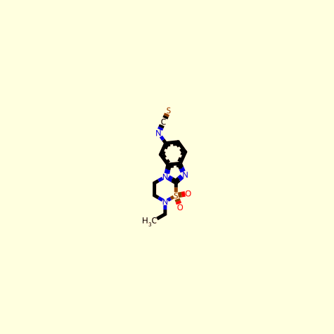 CCN1CCn2c(nc3ccc(N=C=S)cc32)S1(=O)=O